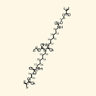 C=C(C)C(=O)OCCOC(=O)NCCCCCCNC(=O)N(CCCCCCNC(=O)OCCOC(=O)C(=C)C)C(=O)OCC